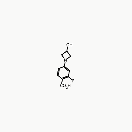 O=C(O)c1ccc(N2CC(O)C2)cc1F